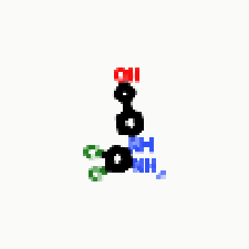 Nc1cc(Cl)c(Cl)cc1Nc1ccc(C2CC(O)C2)cc1